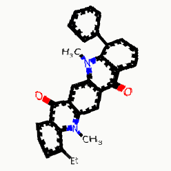 CCc1cccc2c(=O)c3cc4c(cc3n(C)c12)c(=O)c1cccc(-c2ccccc2)c1n4C